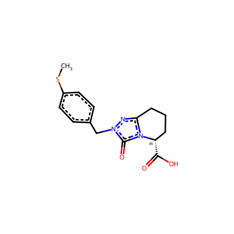 CSc1ccc(Cn2nc3n(c2=O)[C@@H](C(=O)O)CCC3)cc1